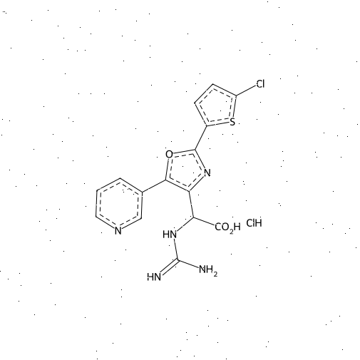 Cl.N=C(N)NC(C(=O)O)c1nc(-c2ccc(Cl)s2)oc1-c1cccnc1